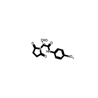 O=[C][C@H](C(=O)Nc1ccc([N+](=O)[O-])cc1)N1C(=O)CCC1=O